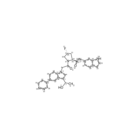 CC(O)c1cn(CC(=O)N2C[C@H](F)C[C@H]2C(=O)Nc2ccc3cn[nH]c3c2)c2ccc(-c3ccnnc3)cc12